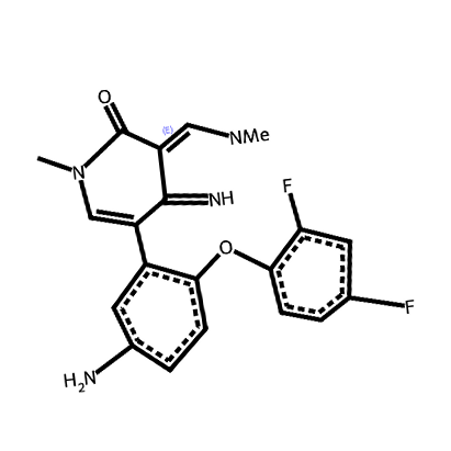 CN/C=C1\C(=N)C(c2cc(N)ccc2Oc2ccc(F)cc2F)=CN(C)C1=O